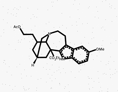 CCOC(=O)C12C[C@@H]3CC(CCOC(C)=O)C1N(CCc1c2[nH]c2ccc(OC)cc12)C3